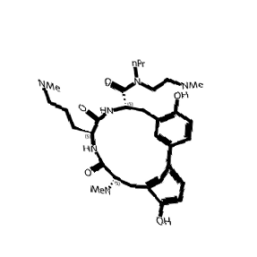 CCCN(CCNC)C(=O)[C@@H]1Cc2cc(ccc2O)-c2ccc(O)c(c2)C[C@H](NC)C(=O)N[C@@H](CCCNC)C(=O)N1